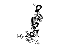 COc1cc2nccc(Oc3ccc(NC(=O)c4nccn(-c5ccc(F)cc5)c4=O)c(F)c3)c2cc1OC